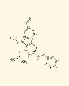 CCn1c([C@@H](CC(C)C)NC(=O)OCc2ccccc2)nc2ccc(C=O)cc21